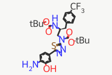 CC(C)(C)OC(=O)N[C@@H](Cc1ccc(C(F)(F)F)cc1)CN(C(=O)OC(C)(C)C)c1nnc(-c2ccc(N)c(O)c2)s1